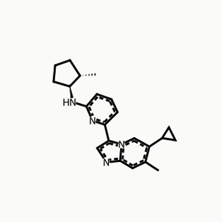 Cc1cc2ncc(-c3cccc(N[C@H]4CCC[C@@H]4C)n3)n2cc1C1CC1